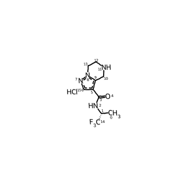 C[C@@H](NC(=O)c1cnn2c1CNCC2)C(F)(F)F.Cl